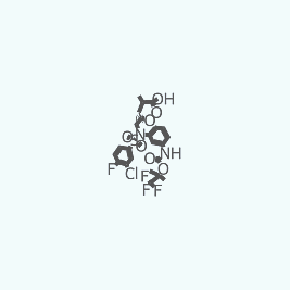 CC(C[C@H]1CN(S(=O)(=O)c2ccc(F)c(Cl)c2)c2cc(NC(=O)OC(C)(C)C(F)(F)F)ccc2O1)C(=O)O